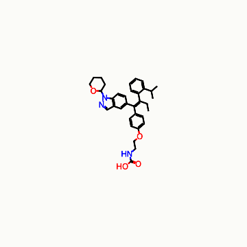 CCC(=C(c1ccc(OCCNC(=O)O)cc1)c1ccc2c(cnn2C2CCCCO2)c1)c1ccccc1C(C)C